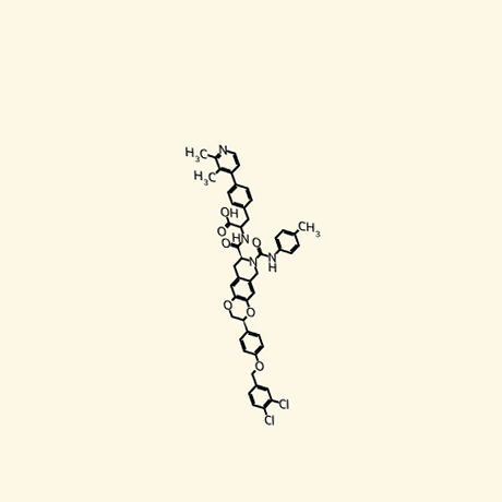 Cc1ccc(NC(=O)N2Cc3cc4c(cc3C[C@H]2C(=O)NC(Cc2ccc(-c3ccnc(C)c3C)cc2)C(=O)O)OC[C@H](c2ccc(OCc3ccc(Cl)c(Cl)c3)cc2)O4)cc1